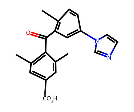 Cc1ccc(-n2ccnc2)cc1C(=O)c1c(C)cc(C(=O)O)cc1C